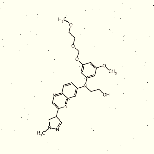 COCCOCOc1cc(OC)cc(N(CCO)c2ccc3ncc(C4C=NN(C)C4)nc3c2)c1